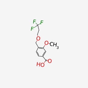 COc1cc(C(=O)O)ccc1COCCC(F)(F)F